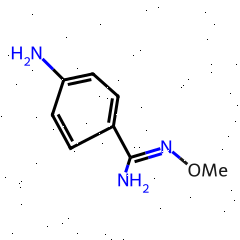 CON=C(N)c1ccc(N)cc1